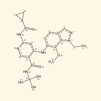 CCn1ncc2ccc(Nc3cc(NC(=O)C4CC4)ncc3C(=O)NC(O)(O)O)c(OC)c21